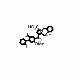 COc1cc(-c2ccccc2F)c(Cl)cc1C(=O)c1cc(C(=O)O)n2c1CNc1ccccc1C2